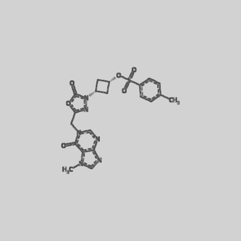 Cc1ccc(S(=O)(=O)O[C@H]2C[C@@H](n3nc(Cn4cnc5ncn(C)c5c4=O)oc3=O)C2)cc1